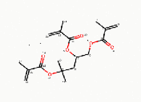 C=C(C)C(=O)OCC(CC(C)(C)OC(=O)C(=C)C)OC(=O)C(=C)C